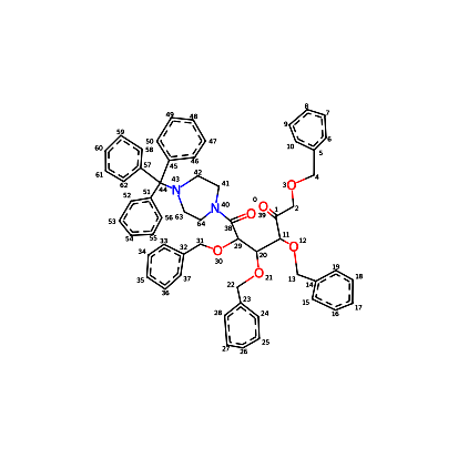 O=C(COCc1ccccc1)C(OCc1ccccc1)C(OCc1ccccc1)C(OCc1ccccc1)C(=O)N1CCN(C(c2ccccc2)(c2ccccc2)c2ccccc2)CC1